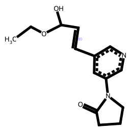 CCOC(O)/C=C/c1cncc(N2CCCC2=O)c1